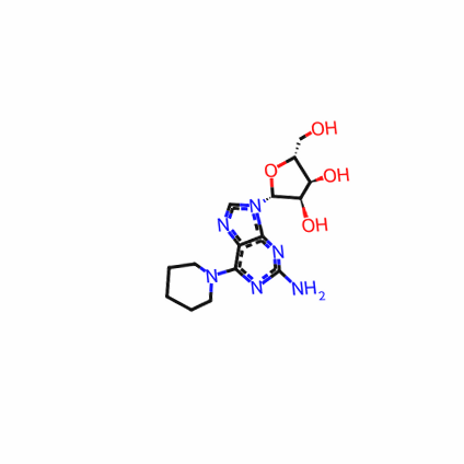 Nc1nc(N2CCCCC2)c2ncn([C@@H]3O[C@H](CO)[C@@H](O)[C@H]3O)c2n1